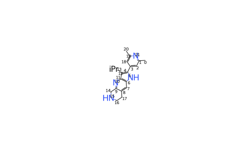 Cc1cc(-c2[nH]c3cc4c(nc3c2C(C)C)CNCC4)cc(C)n1